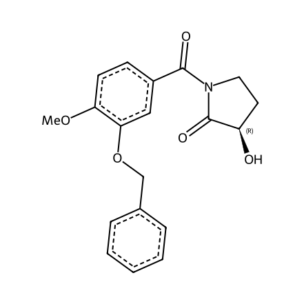 COc1ccc(C(=O)N2CC[C@@H](O)C2=O)cc1OCc1ccccc1